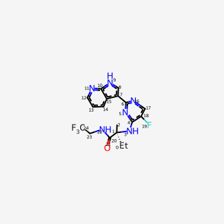 CC[C@](C)(Nc1nc(-c2c[nH]c3ncccc23)ncc1F)C(=O)NCC(F)(F)F